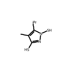 Cc1c(S)nn(S)c1C(C)C